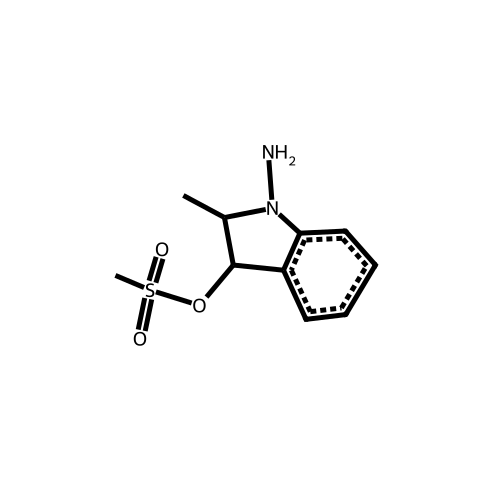 CC1C(OS(C)(=O)=O)c2ccccc2N1N